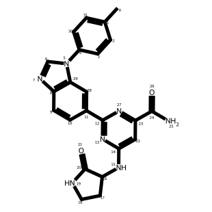 Cc1ccc(-n2cnc3ccc(-c4nc(NC5CCNC5=O)cc(C(N)=O)n4)cc32)cc1